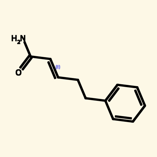 NC(=O)/C=C/CCc1ccccc1